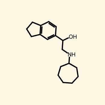 OC(CNC1CCCCCC1)c1ccc2c(c1)CCC2